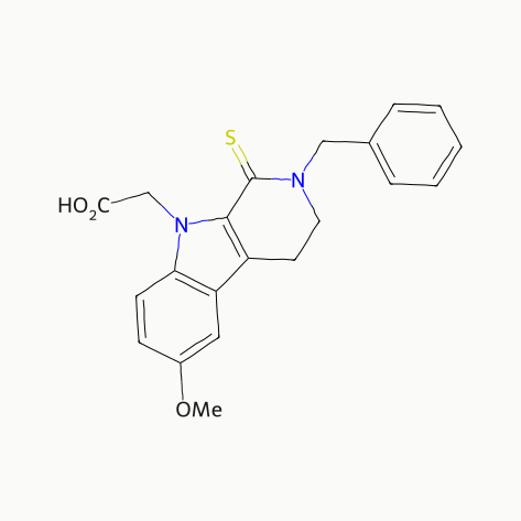 COc1ccc2c(c1)c1c(n2CC(=O)O)C(=S)N(Cc2ccccc2)CC1